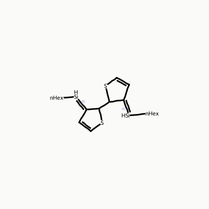 CCCCCC/[SiH]=C1\C=CSC1C1SC=C/C1=[SiH]\CCCCCC